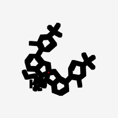 [CH2]=[Hf]([CH3])([CH3])([CH3])([CH2]CC)([CH]1C=Cc2c(-c3ccc(C(C)(C)C)cc3C)cccc21)[CH]1C=Cc2c(-c3ccc(C(C)(C)C)cc3C)cccc21